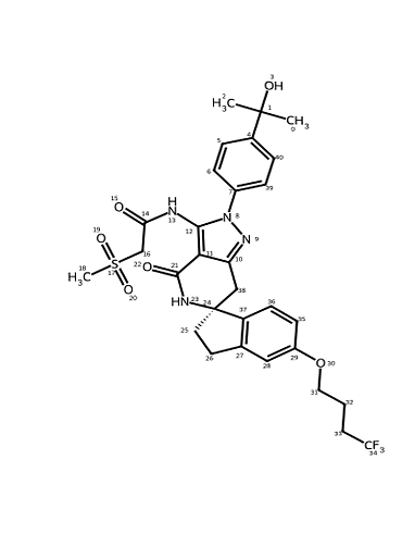 CC(C)(O)c1ccc(-n2nc3c(c2NC(=O)CS(C)(=O)=O)C(=O)N[C@@]2(CCc4cc(OCCCC(F)(F)F)ccc42)C3)cc1